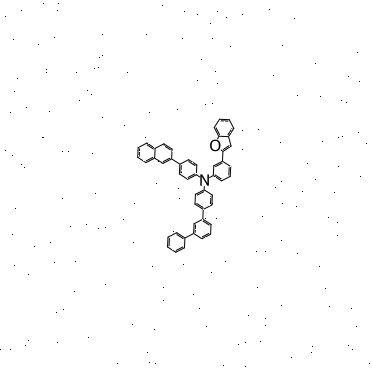 c1ccc(-c2cccc(-c3ccc(N(c4ccc(-c5ccc6ccccc6c5)cc4)c4cccc(-c5cc6ccccc6o5)c4)cc3)c2)cc1